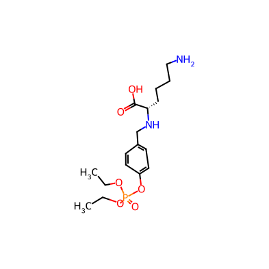 CCOP(=O)(OCC)Oc1ccc(CN[C@@H](CCCCN)C(=O)O)cc1